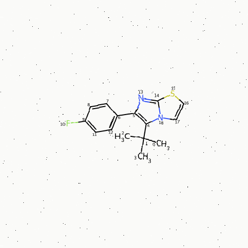 CC(C)(C)c1c(-c2ccc(F)cc2)nc2sccn12